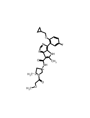 COCC(=O)N1C[C@H](NC(=O)c2c(C)[nH]c3c(-c4cc(F)ccc4OCC4CC4)ncnc23)C[C@H]1C